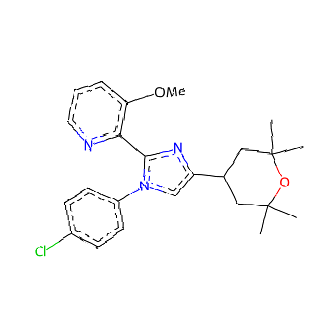 COc1cccnc1-c1nc(C2CC(C)(C)OC(C)(C)C2)cn1-c1ccc(Cl)cc1